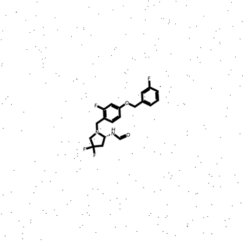 O=CN[C@@H]1CC(F)(F)CN1Cc1ccc(OCc2cccc(F)c2)cc1F